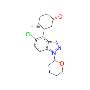 C[C@@H]1CCC(=O)CC1c1c(Cl)ccc2c1cnn2C1CCCCO1